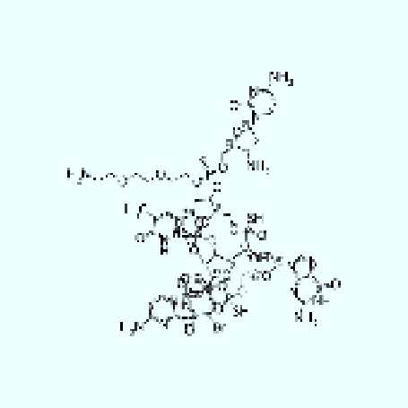 Cc1cn([C@H]2CC(OP(=S)(OCCOCCOCCN)OC[C@H]3O[C@@H](n4ccc(N)nc4=O)CC3N)[C@@H](COP(=O)(S)OC3C[C@H](n4cnc5c(=O)[nH]c(N)nc54)O[C@@H]3COP(=O)(S)O[C@@H]3C[C@H](n4ccc(N)nc4=O)O[C@@H]3COP(=O)(S)OC3C[C@H](n4cc(Br)c(=O)[nH]c4=O)O[C@@H]3CO)O2)c(=O)[nH]c1=O